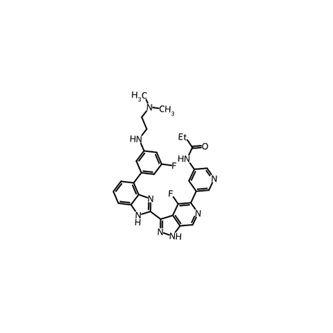 CCC(=O)Nc1cncc(-c2ncc3[nH]nc(-c4nc5c(-c6cc(F)cc(NCCN(C)C)c6)cccc5[nH]4)c3c2F)c1